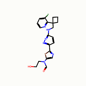 O=CN(CCO)c1cnc(-c2ccc(NCC3(c4ncccc4F)CCC3)nn2)s1